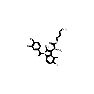 CCCCOC(=O)[C@@H](C)c1c(C)n(C(=O)c2ccc(Cl)c(F)c2)c2ccc(O)c(F)c12